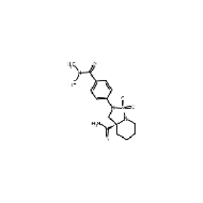 CN(C)C(=N)c1ccc(N2C[C@@]3(C(N)=O)[CH]CCCN3S2(=O)=O)cc1